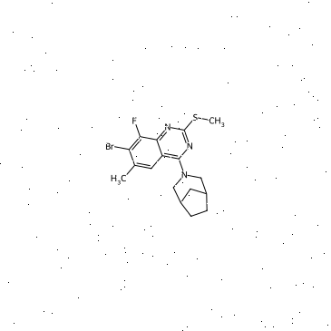 CSc1nc(N2CC3CCC(C3)C2)c2cc(C)c(Br)c(F)c2n1